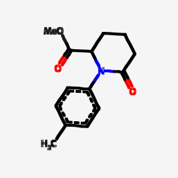 COC(=O)C1CCCC(=O)N1c1ccc(C)cc1